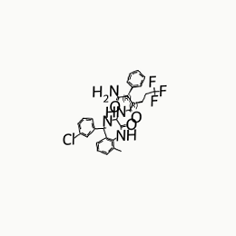 Cc1cccc2c1NC(=O)C(NC(=O)[C@H](CCC(F)(F)F)[C@@H](C(N)=O)c1ccccc1)N=C2c1cccc(Cl)c1